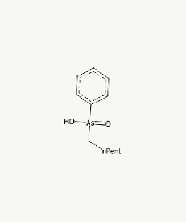 CCCCCC[As](=O)(O)c1ccccc1